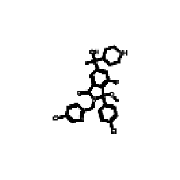 COC1(c2ccc(Cl)cc2)c2c(F)cc(C(C)(O)C3CCNCC3)cc2C(=O)N1Cc1ccc(Cl)cn1